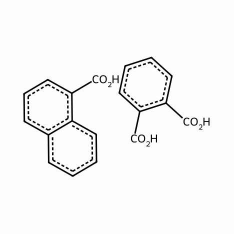 O=C(O)c1cccc2ccccc12.O=C(O)c1ccccc1C(=O)O